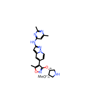 CO[C@H]1CNC[C@H]1Oc1noc(C)c1-c1ccn2nc(Nc3cc(C)nc(C)n3)cc2c1